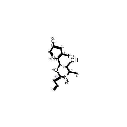 C=C/C=C(/OCc1ncc(Cl)cc1F)N(C)C(C)CO